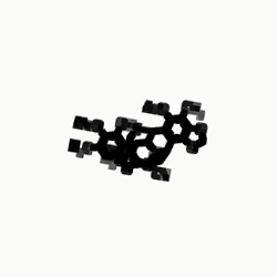 COc1c(C)cc2c(c1O)C1C3C4SCC(N)C(=O)OCC(c5c6c(c(C)c(OC(C)=O)c54)OCO6)N3[C@@H](C#N)C(C2)N1C